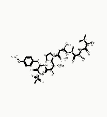 CCCCCCOc1ccc(C[C@H](NC(=O)[C@H](C)[C@@H](OC)[C@@H]2CCCN2C(=O)C[C@@H](OC)[C@H]([C@@H](C)CC)N(C)C(=O)[C@@H](NC(=O)[C@H](C(C)C)N(C)C)C(C)C)C(=O)NS(C)(=O)=O)cc1